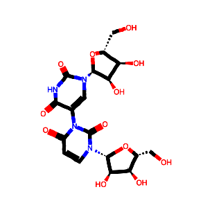 O=c1[nH]c(=O)n([C@@H]2O[C@H](CO)[C@@H](O)[C@H]2O)cc1-n1c(=O)ccn([C@@H]2O[C@H](CO)[C@@H](O)[C@H]2O)c1=O